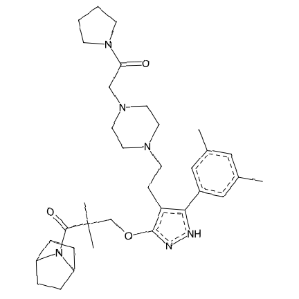 Cc1cc(C)cc(-c2[nH]nc(OCC(C)(C)C(=O)N3C4CCC3CC4)c2CCN2CCN(CC(=O)N3CCCC3)CC2)c1